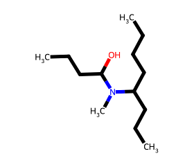 CCCCC(CCC)N(C)C(O)CCC